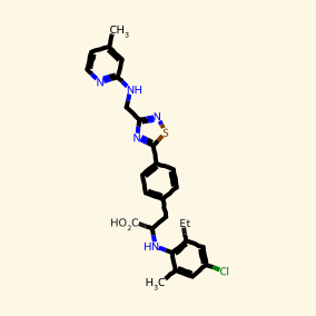 CCc1cc(Cl)cc(C)c1NC(Cc1ccc(-c2nc(CNc3cc(C)ccn3)ns2)cc1)C(=O)O